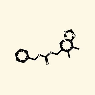 Cc1c(CSC(=O)OCc2ccccc2)cn2ncnc2c1C